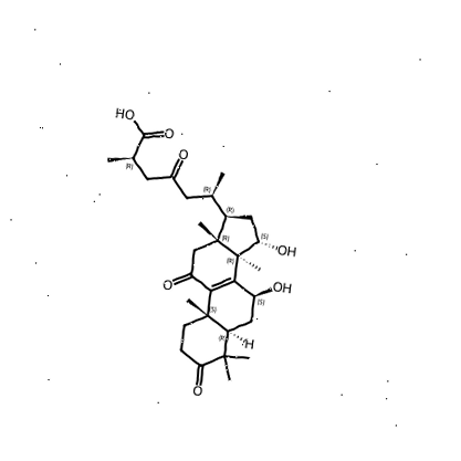 C[C@H](CC(=O)C[C@@H](C)[C@H]1C[C@H](O)[C@@]2(C)C3=C(C(=O)C[C@]12C)[C@@]1(C)CCC(=O)C(C)(C)[C@@H]1C[C@@H]3O)C(=O)O